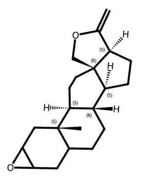 C=C1OC[C@]23CC[C@H]4[C@@H](CCC5CC6OC6C[C@@]54C)[C@@H]2CC[C@H]13